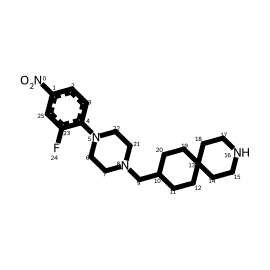 O=[N+]([O-])c1ccc(N2CCN(CC3CCC4(CCNCC4)CC3)CC2)c(F)c1